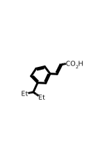 CCC(CC)c1cccc(/C=C/C(=O)O)c1